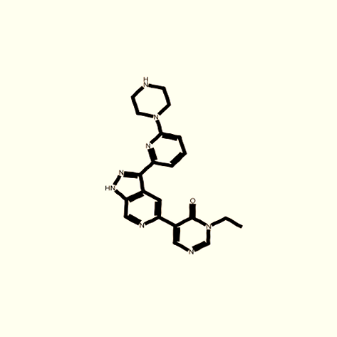 CCn1cncc(-c2cc3c(-c4cccc(N5CCNCC5)n4)n[nH]c3cn2)c1=O